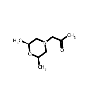 CC(=O)CN1C[C@@H](C)O[C@@H](C)C1